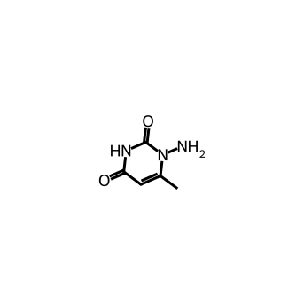 Cc1cc(=O)[nH]c(=O)n1N